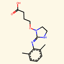 Cc1cccc(C)c1/N=C1\NCCN1OCCCC(=O)O